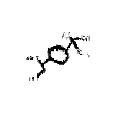 CNC(CC(C)(C)C)c1ccc(C(C)(C)O)cc1